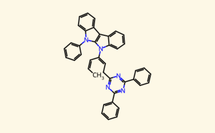 C/C=C\C(=C/Cc1nc(-c2ccccc2)nc(-c2ccccc2)n1)n1c2ccccc2c2c3ccccc3n(-c3ccccc3)c21